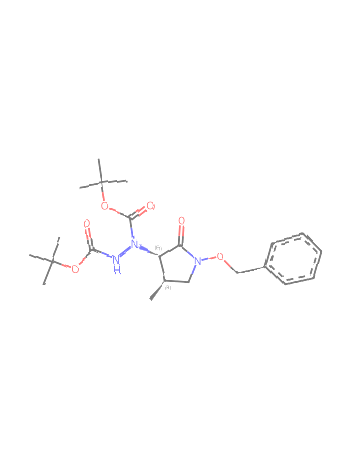 C[C@@H]1CN(OCc2ccccc2)C(=O)[C@@H]1N(NC(=O)OC(C)(C)C)C(=O)OC(C)(C)C